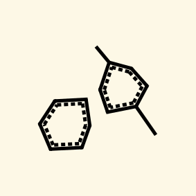 Cc1ccc(C)cc1.c1ccccc1